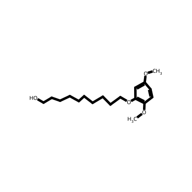 COc1ccc(OC)c(OCCCCCCCCCCO)c1